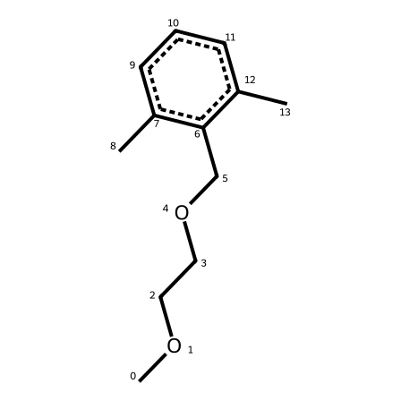 COCCOCc1c(C)cccc1C